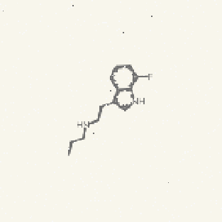 CCCNCCc1c[nH]c2c(F)cccc12